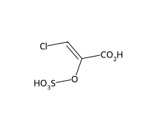 O=C(O)C(=CCl)OS(=O)(=O)O